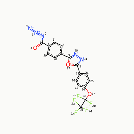 [N-]=[N+]=NC(=O)c1ccc(-c2nnc(-c3ccc(OC(F)(F)C(F)(F)F)cc3)o2)cc1